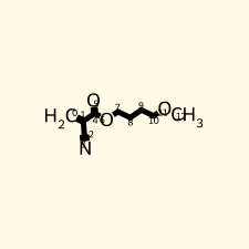 C=C(C#N)C(=O)OCCCCOC